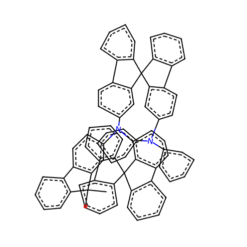 CC1(C)c2ccccc2-c2ccc(N(c3ccc4c(c3)C3(c5ccccc5-c5ccc(N(c6ccccc6)c6ccccc6)cc53)c3ccccc3-4)c3cccc4c3C3(c5ccccc5-c5ccccc53)c3ccccc3-4)cc21